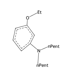 CCCCCN(CCCCC)c1cccc(OCC)c1